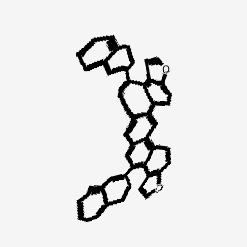 c1ccc2cc(-c3cc4cc5cc(-c6ccc7ccccc7c6)c6c7ccoc7ccc6c5cc4c4ccc5occc5c34)ccc2c1